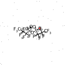 O=S(=O)(OS(=O)(=O)C(F)(F)C(F)(F)C(F)(F)F)C(F)(F)C(F)(F)C(F)(F)F